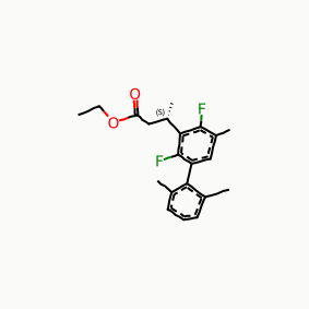 CCOC(=O)C[C@H](C)c1c(F)c(C)cc(-c2c(C)cccc2C)c1F